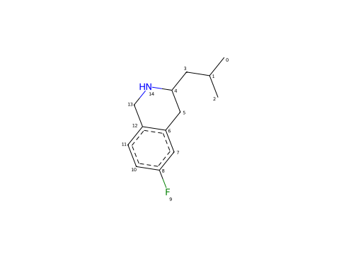 CC(C)CC1Cc2cc(F)ccc2CN1